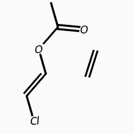 C=C.CC(=O)OC=CCl